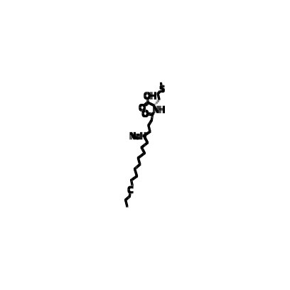 CCCCCCCCCCCCCCCCCC(=O)N[C@@H](CCSC)C(=O)O.[NaH]